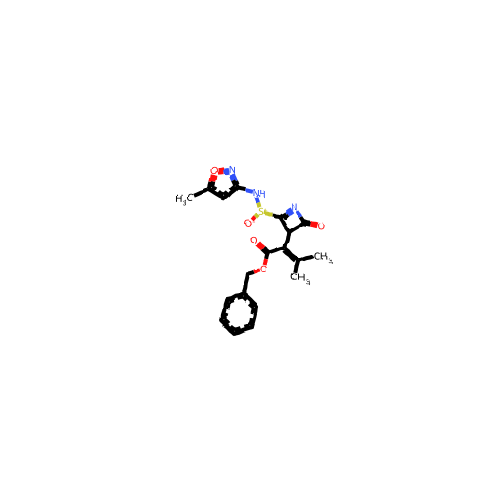 CC(C)=C(C(=O)OCc1ccccc1)C1C(=O)N=C1[S+]([O-])Nc1cc(C)on1